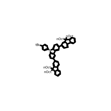 CCCCCCCCC1(CCCCCCCC)c2ccccc2-c2ccc(-c3ccc4c(c3)c3cc(-c5ccc6c(c5)C(CCCCCCCC)(CCCCCCCC)c5ccccc5-6)ccc3n4-c3ccc(C(C)(C)C)cc3)cc21